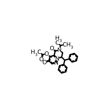 CC(=O)Oc1c2n(ncc1=O)C(C(c1ccccc1)c1ccccc1)CN(C(C)C)C2=O